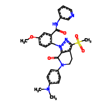 COc1ccc(-n2nc(S(C)(=O)=O)c3c2C(=O)N(c2ccc(N(C)C)cc2)CC3)c(C(=O)Nc2cccnc2)c1